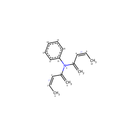 C=C(/C=C\C)N(C(=C)/C=C\C)c1ccccc1